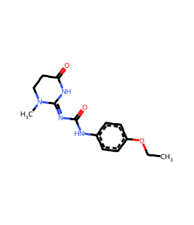 CCOc1ccc(NC(=O)N=C2NC(=O)CCN2C)cc1